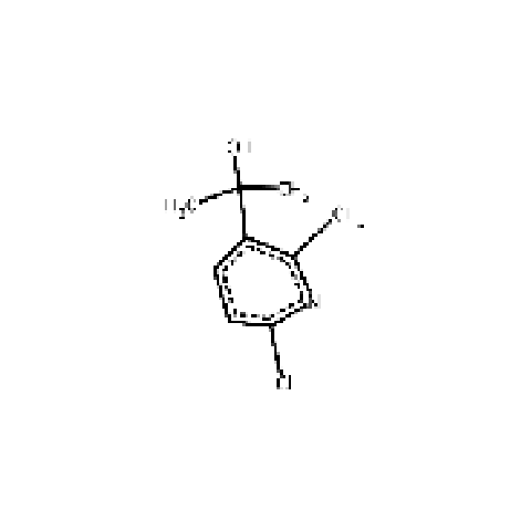 Cc1nc(Cl)ccc1C(C)(C)O